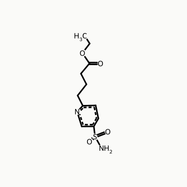 CCOC(=O)CCCc1ccc(S(N)(=O)=O)cn1